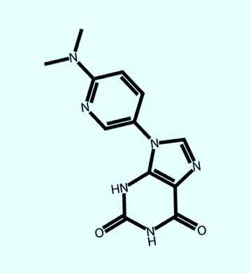 CN(C)c1ccc(-n2cnc3c(=O)[nH]c(=O)[nH]c32)cn1